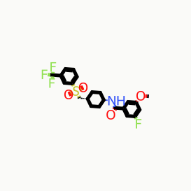 COc1cc(F)cc(C(=O)N[C@H]2CC[C@@H](CS(=O)(=O)c3cccc(C(F)(F)F)c3)CC2)c1